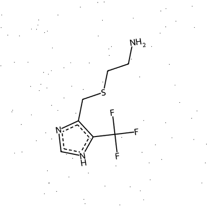 NCCSCc1nc[nH]c1C(F)(F)F